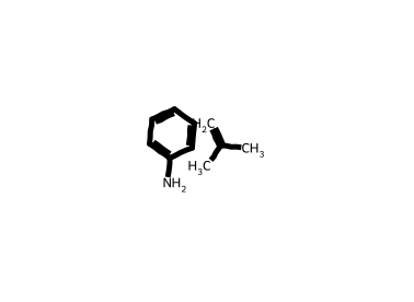 C=C(C)C.Nc1ccccc1